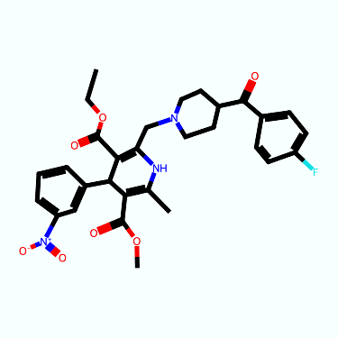 CCOC(=O)C1=C(CN2CCC(C(=O)c3ccc(F)cc3)CC2)NC(C)=C(C(=O)OC)C1c1cccc([N+](=O)[O-])c1